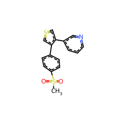 CS(=O)(=O)c1ccc(-c2cscc2-c2cccnc2)cc1